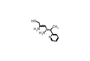 CC(c1ccccn1)N(N)/C=C(\N)CO